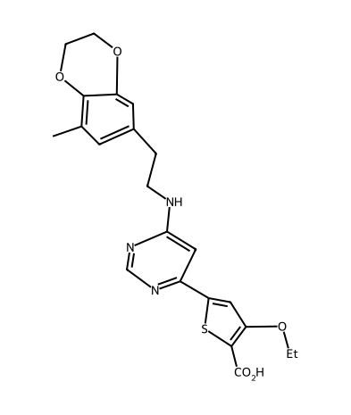 CCOc1cc(-c2cc(NCCc3cc(C)c4c(c3)OCCO4)ncn2)sc1C(=O)O